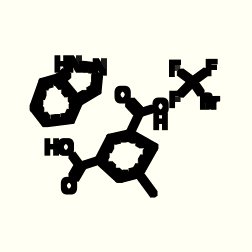 Cc1cc(C(=O)O)cc(C(=O)O)c1.FC(F)(F)Br.c1ccc2[nH]ncc2c1